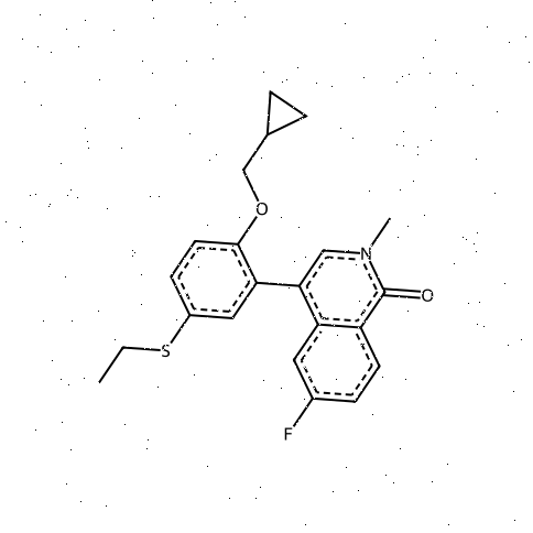 CCSc1ccc(OCC2CC2)c(-c2cn(C)c(=O)c3ccc(F)cc23)c1